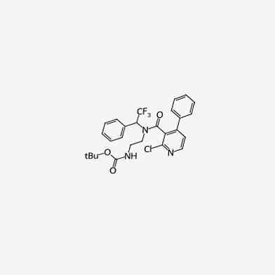 CC(C)(C)OC(=O)NCCN(C(=O)c1c(-c2ccccc2)ccnc1Cl)C(c1ccccc1)C(F)(F)F